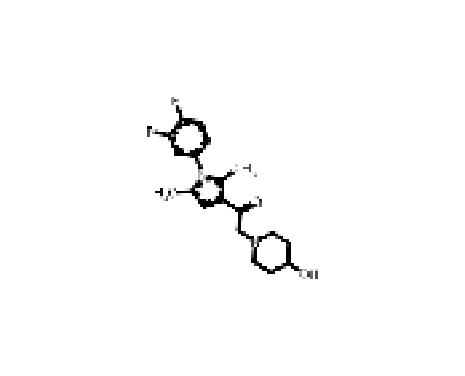 Cc1cc(C(=O)CN2CCC(O)CC2)c(C)n1-c1ccc(F)c(F)c1